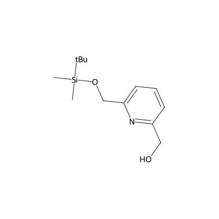 CC(C)(C)[Si](C)(C)OCc1cccc(CO)n1